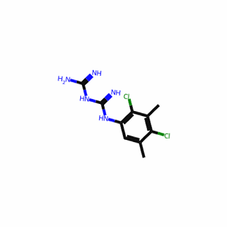 Cc1cc(NC(=N)NC(=N)N)c(Cl)c(C)c1Cl